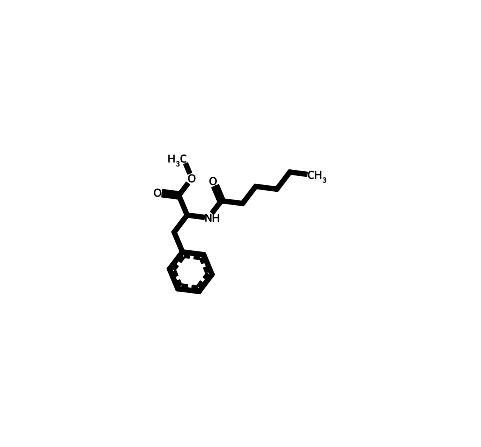 CCCCCC(=O)NC(Cc1ccccc1)C(=O)OC